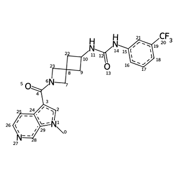 Cn1cc(C(=O)N2CC3(CC(NC(=O)Nc4cccc(C(F)(F)F)c4)C3)C2)c2ccncc21